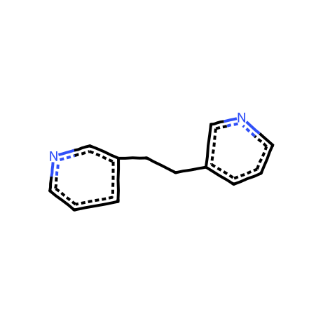 c1cncc(CCc2cccnc2)c1